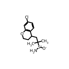 CC(C)(CC1CCOc2cc(Cl)ccc21)[S+](N)[O-]